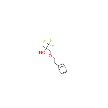 CC(O)(COCCC1CC2C=CC1C2)C(F)(F)F